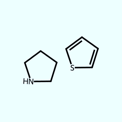 C1CCNC1.c1ccsc1